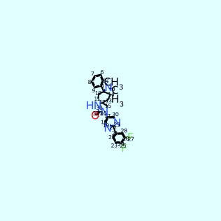 CN(C)[C@]1(c2ccccc2)CC[C@]2(CC1)CN(c1cnc(-c3ccc(F)c(F)c3)nc1)C(=O)N2